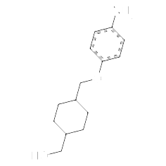 Nc1ccc(OCC2CCC(CO)CC2)cc1